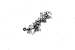 CC(C)CC(NC[C@@H]1NC(=O)[C@@]2(CC3C(=O)N[C@]4(C[C@H]5C(=O)N(CCCNC(=O)OCc6ccccc6)[C@@]6(CN[C@H](C(=O)O)C6)C(=O)N5C4)C(=O)N3C2)NC1=O)=C1C(=O)CC(C)(C)CC1=O